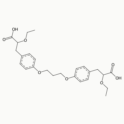 CCOC(Cc1ccc(OCCCOc2ccc(CC(OCC)C(=O)O)cc2)cc1)C(=O)O